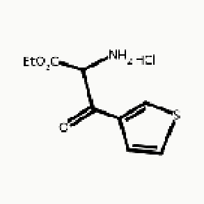 CCOC(=O)C(N)C(=O)c1ccsc1.Cl